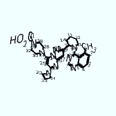 Cc1cccc2ncnc(N3CCCCC3c3cc4nc(N5CCC5)cc(N5CCN(C(=O)O)CC5)n4n3)c12